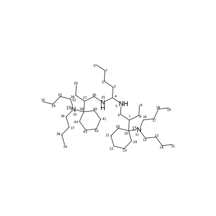 CCCCC(NCC(CC)C1([15N](CCCC)CCCC)CCCCC1)NCC(CC)C1([15N](CCCC)CCCC)CCCCC1